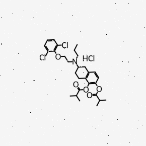 CCCN(CCOc1c(Cl)cccc1Cl)C1CCc2c(ccc(OC(=O)C(C)C)c2OC(=O)C(C)C)C1.Cl